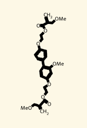 C=C(COC)C(=O)OCCOc1ccc(-c2ccc(OCCOC(=O)C(=C)COC)cc2OC)cc1